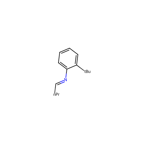 CCCC=Nc1ccccc1C(C)(C)C